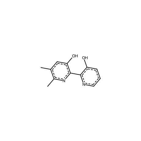 Cc1cc(O)c(-c2ncccc2O)nc1C